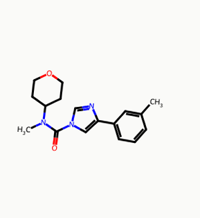 Cc1cccc(-c2cn(C(=O)N(C)C3CCOCC3)cn2)c1